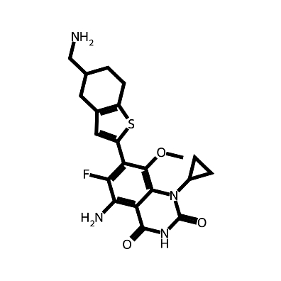 COc1c(-c2cc3c(s2)CCC(CN)C3)c(F)c(N)c2c(=O)[nH]c(=O)n(C3CC3)c12